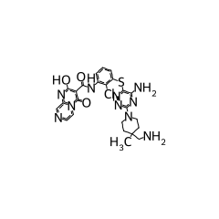 CC1(CN)CCN(c2nnc(Sc3cccc(NC(=O)c4c(O)nc5cnccn5c4=O)c3Cl)c(N)n2)CC1